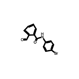 O=Cc1ccccc1C(=O)Nc1ccc(Br)cc1